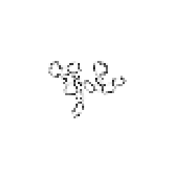 c1ccc(-n2c3cc(N(c4cccc5c4sc4ccccc45)c4cccc5c4sc4ccccc45)ccc3c3ccc4ccccc4c32)cc1